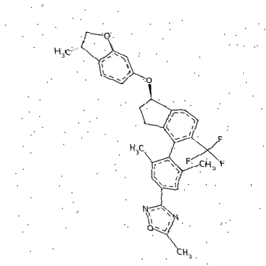 Cc1nc(-c2cc(C)c(-c3c(C(F)(F)F)ccc4c3CC[C@H]4Oc3ccc4c(c3)OC[C@H]4C)c(C)c2)no1